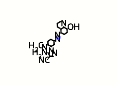 C=Nc1ccc(/N=N/c2ccc(O)c3ncccc23)cc1-n1ncc(C#N)c1N